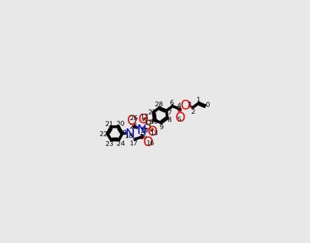 C=CCOC(=O)Cc1ccc(S(=O)(=O)N2C(=O)CN(c3ccccc3)C2=O)cc1